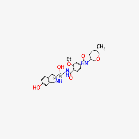 CCOc1cc(C(=O)NC2CCC(C)COC2)ccc1C(=O)NC[C@@H](O)[C@@H]1Cc2ccc(O)cc2CN1